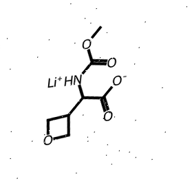 COC(=O)NC(C(=O)[O-])C1COC1.[Li+]